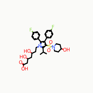 CC(C)c1c(S(=O)(=O)N2CCC(O)CC2)c(-c2ccc(F)cc2)c(-c2ccc(F)cc2)n1CCC(O)CC(O)CC(=O)O